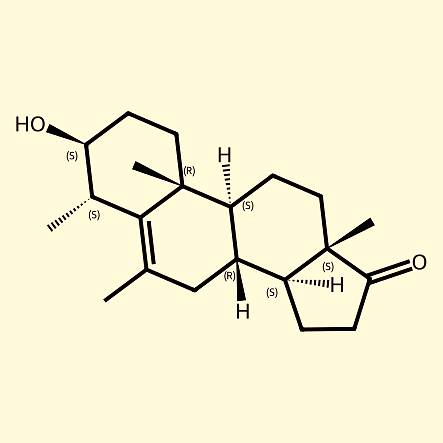 CC1=C2[C@H](C)[C@@H](O)CC[C@]2(C)[C@H]2CC[C@]3(C)C(=O)CC[C@H]3[C@@H]2C1